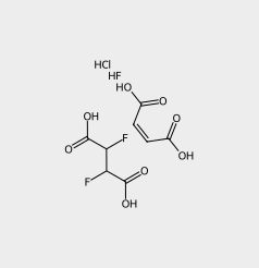 Cl.F.O=C(O)/C=C\C(=O)O.O=C(O)C(F)C(F)C(=O)O